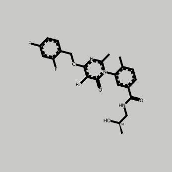 Cc1ccc(C(=O)NC[C@@H](C)O)cc1-n1c(C)nc(OCc2ccc(F)cc2F)c(Br)c1=O